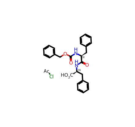 CC(=O)Cl.O=C(N[C@@H](Cc1ccccc1)C(=O)N[C@@H](Cc1ccccc1)C(=O)O)OCc1ccccc1